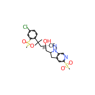 CC(C)(C[C@@](O)(CC1Cc2cc(S(C)(=O)=O)ncc2N1)C(F)(F)F)c1ccc(Cl)cc1S(C)(=O)=O